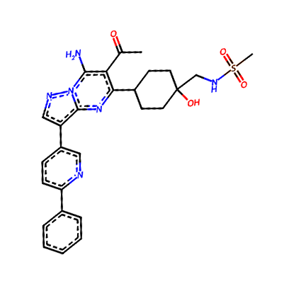 CC(=O)c1c(C2CCC(O)(CNS(C)(=O)=O)CC2)nc2c(-c3ccc(-c4ccccc4)nc3)cnn2c1N